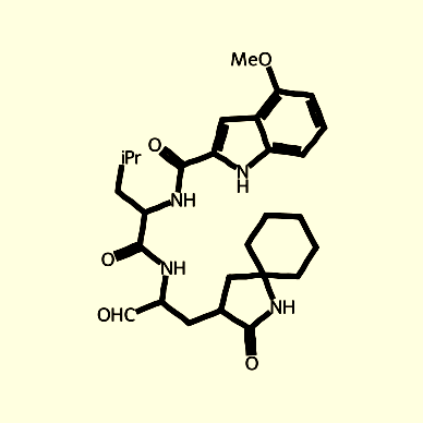 COc1cccc2[nH]c(C(=O)NC(CC(C)C)C(=O)NC(C=O)CC3CC4(CCCCC4)NC3=O)cc12